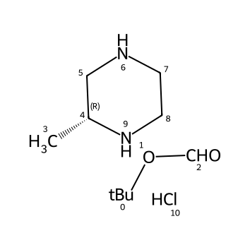 CC(C)(C)OC=O.C[C@@H]1CNCCN1.Cl